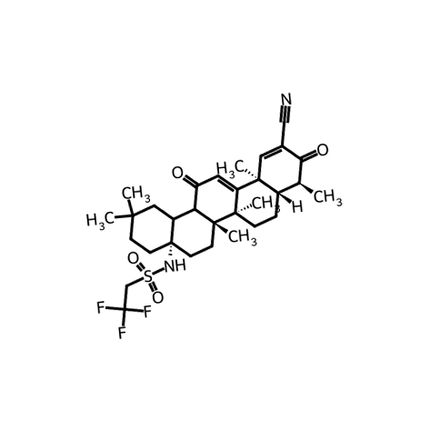 C[C@@H]1C(=O)C(C#N)=C[C@]2(C)C3=CC(=O)C4C5CC(C)(C)CC[C@]5(NS(=O)(=O)CC(F)(F)F)CC[C@@]4(C)[C@]3(C)CC[C@@H]12